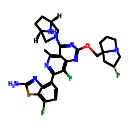 Cc1nc(-c2ccc(F)c3sc(N)nc23)c(F)c2nc(OC[C@@]34CCCN3C[C@H](F)C4)nc(N3C[C@H]4CC[C@@H](C3)N4)c12